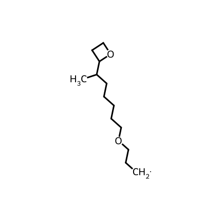 [CH2]CCOCCCCCC(C)C1CCO1